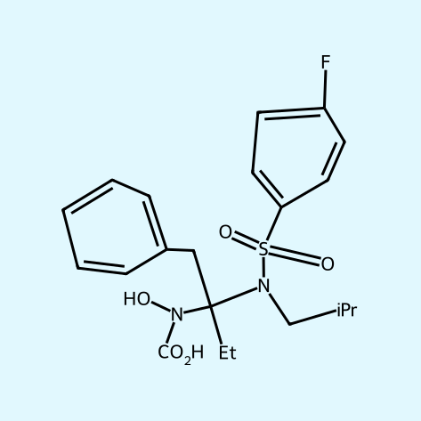 CCC(Cc1ccccc1)(N(O)C(=O)O)N(CC(C)C)S(=O)(=O)c1ccc(F)cc1